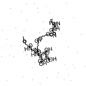 N#C[C@H]1CC(F)(F)CN1C(=O)CNC(=O)c1ccnc2ccc(OCCCCC3CCN(C(=O)CCCCCNC(=O)[C@H](CCCCNC(=O)CCCc4ccc(I)cc4)NC(=O)CN4CCN(CC(=O)O)CCN(CC(=O)O)CCN(CC(=O)O)CC4)CC3)cc12